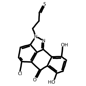 O=C1c2c(O)ccc(O)c2-c2nn(CCC=S)c3ccc(Cl)c1c23